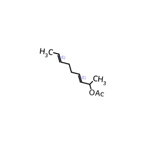 C/C=C/CC/C=C/C(C)OC(C)=O